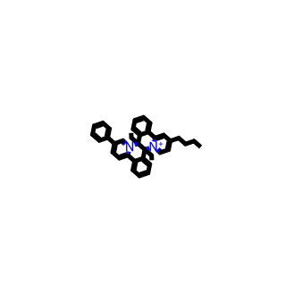 CCCCc1cc[n+]2c(c1)-c1ccccc1C1(CC)[n+]3cc(-c4ccccc4)ccc3-c3ccccc3C21CC